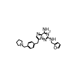 Nc1nc(NCc2ccco2)nn2c(Cc3ccc(CN4CCCC4)cc3)cnc12